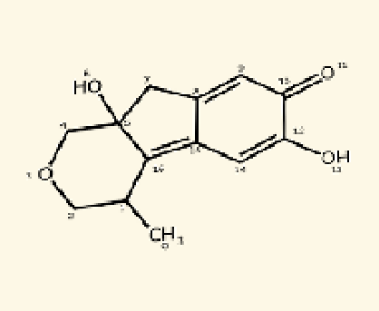 CC1COCC2(O)CC3=CC(=O)C(O)=CC3=C12